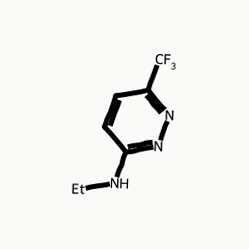 CCNc1ccc(C(F)(F)F)nn1